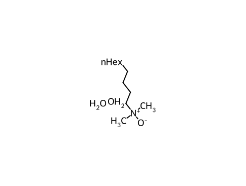 CCCCCCCCCC[N+](C)(C)[O-].O.O